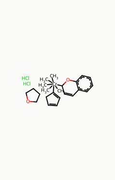 C1CCOC1.Cl.Cl.[CH3][Cr]([CH3])([CH3])([CH3])([CH3])([C]1=CC=CC1)[CH]1C=Cc2ccccc2O1